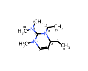 CCC1C=CN(C)C(N(C)C)N1CC